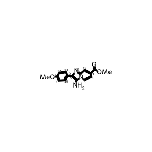 COC(=O)c1ccn2c(N)c(-c3ccc(OC)cc3)nc2c1